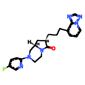 O=C1[C@@H](CCCc2cccn3ncnc23)C[C@@H]2CN(c3ccc(F)cn3)CCN12